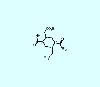 CCOC(=O)CN1C[C@@H](C(N)=O)N(CC(=O)OCC)C[C@H]1C(N)=O